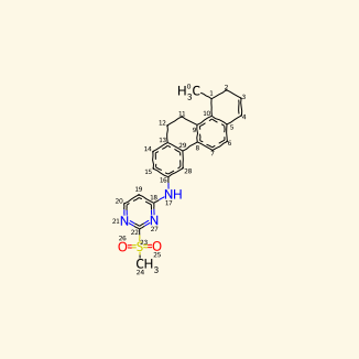 CC1CC=Cc2ccc3c(c21)CCc1ccc(Nc2ccnc(S(C)(=O)=O)n2)cc1-3